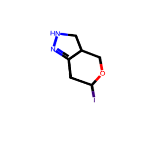 IC1CC2=NNCC2CO1